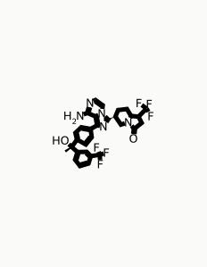 C[C@@](O)(c1ccc(-c2nc([C@@H]3CCC4C(C(F)(F)F)CC(=O)N4C3)n3ccnc(N)c23)cc1)c1cccc(C(F)(F)F)c1